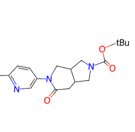 Cc1ccc(N2CC3CN(C(=O)OC(C)(C)C)CC3CC2=O)cn1